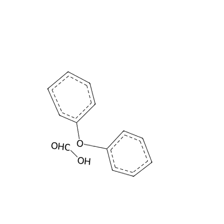 O=CO.c1ccc(Oc2ccccc2)cc1